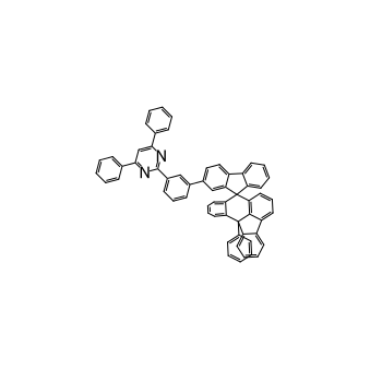 c1ccc(-c2cc(-c3ccccc3)nc(-c3cccc(-c4ccc5c(c4)C4(c6ccccc6-5)c5ccccc5C5(c6ccccc6)c6ccccc6-c6cccc4c65)c3)n2)cc1